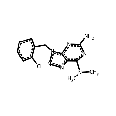 CN(C)c1nc(N)nc2c1nnn2Cc1ccccc1Cl